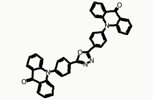 O=c1c2ccccc2n(-c2ccc(-c3nnc(-c4ccc(-n5c6ccccc6c(=O)c6ccccc65)cc4)o3)cc2)c2ccccc12